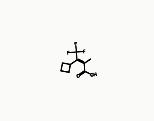 CC(C(=O)O)=C(C1CCC1)C(F)(F)F